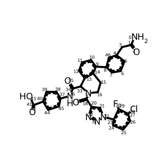 NC(=O)Cc1cccc(-c2cccc3c2CCN(C(=O)c2cn(-c4cccc(Cl)c4F)nn2)C3C(=O)Nc2ccc(C(=O)O)cc2)c1